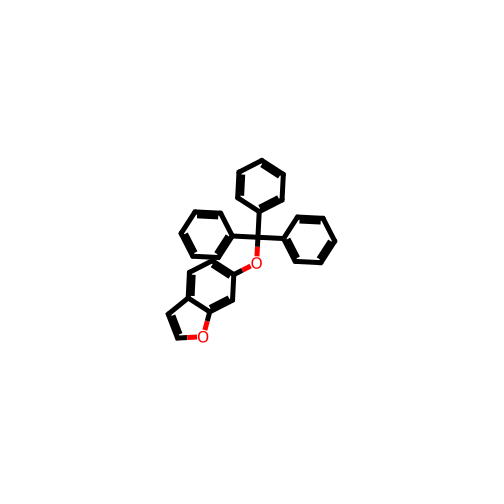 c1ccc(C(Oc2ccc3ccoc3c2)(c2ccccc2)c2ccccc2)cc1